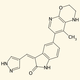 Cc1c(-c2ccc3c(c2)C(=Cc2cn[nH]c2)C(=O)N3)cnc2c1NCCO2